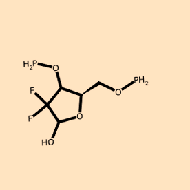 OC1O[C@H](COP)C(OP)C1(F)F